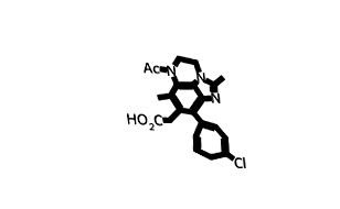 CC(=O)N1CCn2c(C)nc3c(C4=CC=C(Cl)CC=C4)c(CC(=O)O)c(C)c1c32